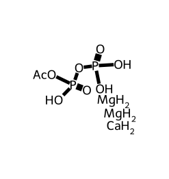 CC(=O)OP(=O)(O)OP(=O)(O)O.[CaH2].[MgH2].[MgH2]